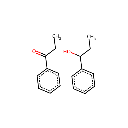 CCC(=O)c1ccccc1.CCC(O)c1ccccc1